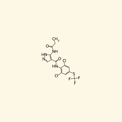 CCC(=O)Nc1[nH]ncc1C(=O)Nc1c(Cl)cc(SC(F)(F)F)cc1Cl